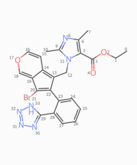 CCOC(=O)c1c(C)nc(C)n1Cc1c2ccocc-2c(Br)c1-c1ccccc1-c1nnn[nH]1